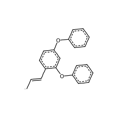 [CH2]C=Cc1ccc(Oc2ccccc2)cc1Oc1ccccc1